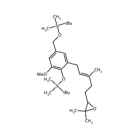 COc1cc(CO[Si](C)(C)C(C)(C)C)cc(C/C=C(\C)CCC2OC2(C)C)c1O[Si](C)(C)C(C)(C)C